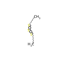 CCCCCCCCc1cc2cc3c(cc2s1)sc1cc2sc(CCCCCCCC)cc2cc13